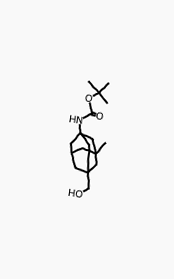 CC12CC3CC(CO)(C1)CC(NC(=O)OC(C)(C)C)(C3)C2